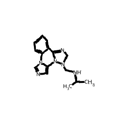 CC(C)NCN1CN=C2c3ccccc3-n3cncc3N21